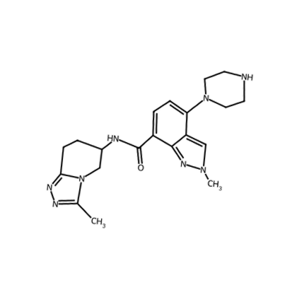 Cc1nnc2n1CC(NC(=O)c1ccc(N3CCNCC3)c3cn(C)nc13)CC2